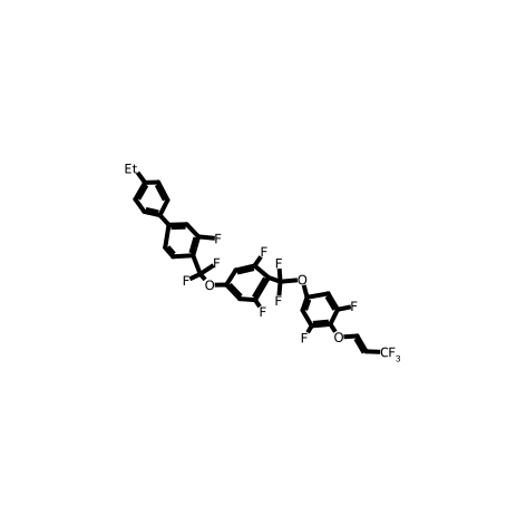 CCc1ccc(-c2ccc(C(F)(F)Oc3cc(F)c(C(F)(F)Oc4cc(F)c(O/C=C/C(F)(F)F)c(F)c4)c(F)c3)c(F)c2)cc1